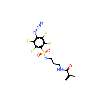 C=C(C)C(=O)NCCCNS(=O)(=O)c1c(F)c(F)c(N=[N+]=[N-])c(F)c1F